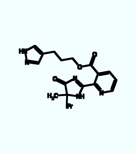 CC(C)C1(C)NC(c2ncccc2C(=O)OCCCc2cn[nH]c2)=NC1=O